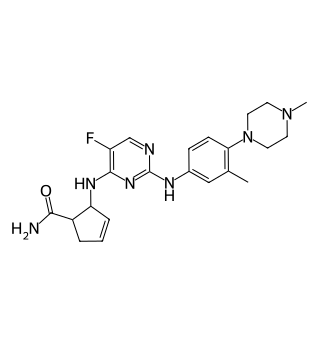 Cc1cc(Nc2ncc(F)c(NC3C=CCC3C(N)=O)n2)ccc1N1CCN(C)CC1